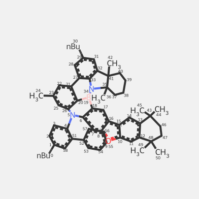 CCCCc1ccc(N2c3cc4oc5cc6c(cc5c4cc3B3c4c(cc(C)cc42)-c2cc(CCCC)cc4c2N3C2(C)CCCCC42C)C(C)(C)CCC6(C)C)c(-c2ccccc2)c1